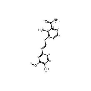 COc1cc(/C=C/Cc2ccnc(C(N)=O)c2N)ccc1O